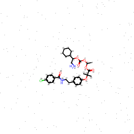 CC(OC(=O)OC(CN)C1CCCCC1)OC(=O)C(C)(C)Oc1ccc(CCNC(=O)c2ccc(Cl)cc2)cc1